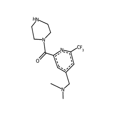 CN(C)Cc1cc(C(=O)N2CCNCC2)nc(C(F)(F)F)c1